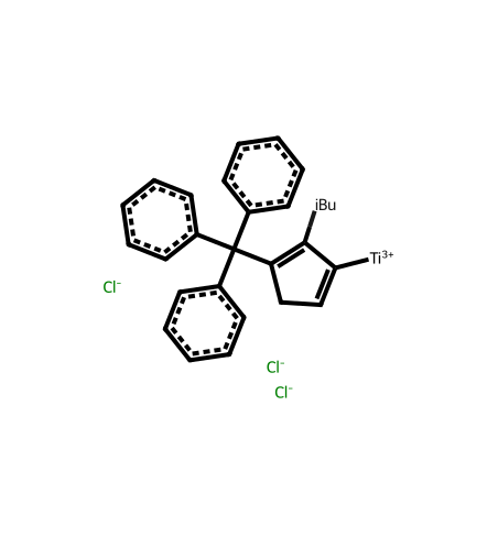 CCC(C)C1=C(C(c2ccccc2)(c2ccccc2)c2ccccc2)CC=[C]1[Ti+3].[Cl-].[Cl-].[Cl-]